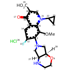 COc1c(N2C[C@@H]3NCCO[C@@H]3C2)c(F)cc2c(=O)c(C(=O)O)cn(C3CC3)c12.Cl